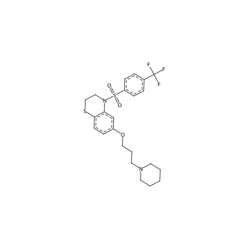 O=S(=O)(c1ccc(C(F)(F)F)cc1)N1CCSc2ccc(OCCCN3CCCCC3)cc21